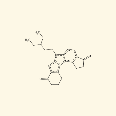 CCN(CC)CCn1c2ccc3c(c2c2c4c(sc21)C(=O)CCC4)CCC3=O